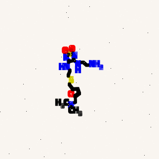 CN(C)Cc1ccc(CSCCNC2=NS(=O)(=O)N=C2NCCN)o1